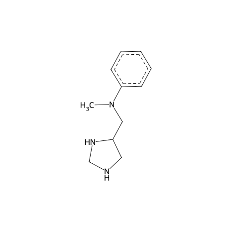 CN(CC1CNCN1)c1ccccc1